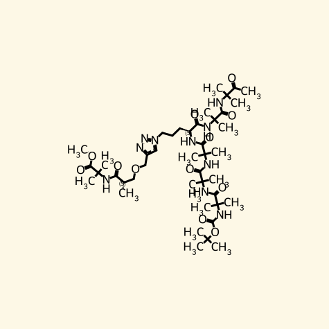 COC(=O)C(C)(C)NC(=O)[C@@H](C)COCc1cn(CCC[C@H](NC(=O)C(C)(C)NC(=O)C(C)(C)NC(=O)C(C)(C)NC(=O)OC(C)(C)C)C(=O)NC(C)(C)C(=O)NC(C)(C)C(C)=O)nn1